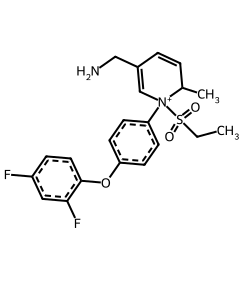 CCS(=O)(=O)[N+]1(c2ccc(Oc3ccc(F)cc3F)cc2)C=C(CN)C=CC1C